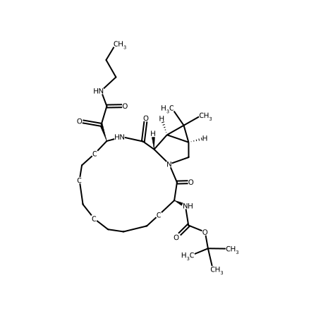 CCCNC(=O)C(=O)[C@@H]1CCCCCCCCC[C@H](NC(=O)OC(C)(C)C)C(=O)N2C[C@H]3[C@@H]([C@H]2C(=O)N1)C3(C)C